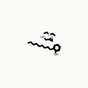 CCCCCCCCCc1ccccc1O.CCOCC.OCC1CO1